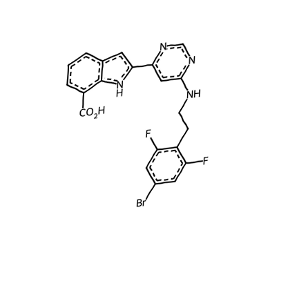 O=C(O)c1cccc2cc(-c3cc(NCCc4c(F)cc(Br)cc4F)ncn3)[nH]c12